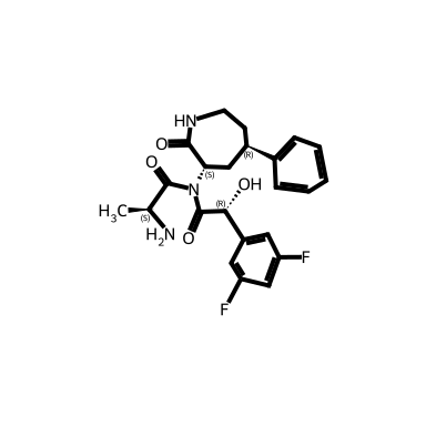 C[C@H](N)C(=O)N(C(=O)[C@H](O)c1cc(F)cc(F)c1)[C@H]1C[C@H](c2ccccc2)CCNC1=O